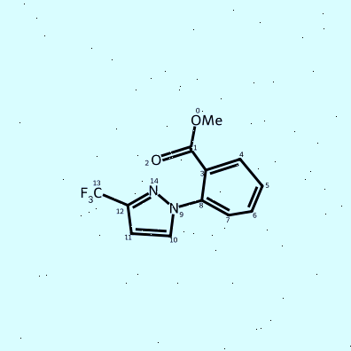 COC(=O)c1ccccc1-n1ccc(C(F)(F)F)n1